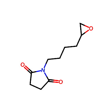 O=C1CCC(=O)N1CCCCC1CO1